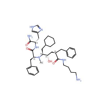 CC(=O)N([C@@H](Cc1ccccc1)C(=O)N[C@@H](Cc1c[nH]cn1)C(N)=O)[C@@H](CC1CCCCC1)[C@@H](O)C[C@@H](Cc1ccccc1)C(=O)NCCCCN